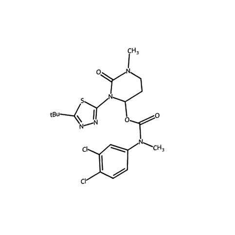 CN1CCC(OC(=O)N(C)c2ccc(Cl)c(Cl)c2)N(c2nnc(C(C)(C)C)s2)C1=O